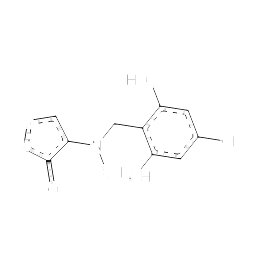 Cc1cc(C)c(CN(C)c2cssc2=O)c(C)c1